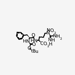 CC(C)(C)OC(=O)N[C@@H](Cc1ccccc1)C(=O)NC(CCCN(C(=N)N)[N+](=O)[O-])C(=O)O